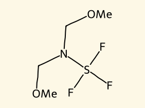 COCN(COC)S(F)(F)F